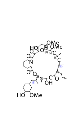 C=CC[C@@H]1/C=C(\C)C[C@H](C)C[C@H](OC)[C@H]2OC(O)(C(=O)C(=O)N3CCCCC3C(=O)O[C@H](/C(C)=C/C3CCC(O)C(OC)C3)[C@H](C)C(O)CC1=O)C(C)C[C@@H]2OC